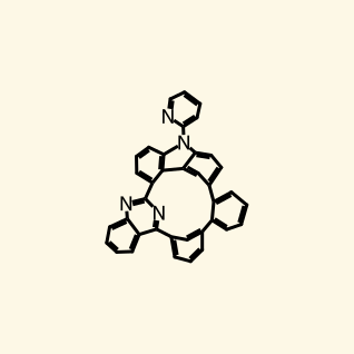 c1ccc(-n2c3ccc4cc3c3c(cccc32)c2nc3ccccc3c(n2)c2cccc(c2)c2ccccc42)nc1